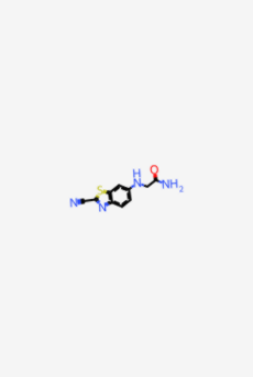 N#Cc1nc2ccc(NCC(N)=O)cc2s1